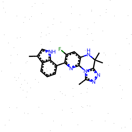 Cc1c[nH]c2c(-c3nc4c(cc3F)NC(C)(C)c3nnc(C)n3-4)cccc12